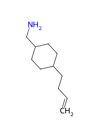 C=CCCC1CCC(CN)CC1